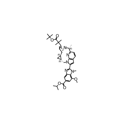 COc1cc(C(=O)OC(C)C)cc2nc(-c3cc4ccc([C@@H](C)N)nc4n3C[C@@H]3C[C@H]3CCCC(C)(C)C(=O)OC(C)(C)C)n(C)c12